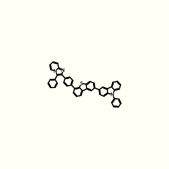 c1ccc(-c2c(-c3ccc(-c4cccc5c4sc4ccc(-c6ccc7c(c6)c6ccccc6n7-c6ccccc6)cc45)cc3)nc3ccccn23)cc1